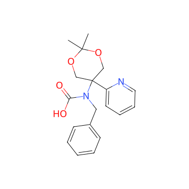 CC1(C)OCC(c2ccccn2)(N(Cc2ccccc2)C(=O)O)CO1